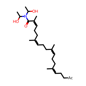 CC(=O)CCC=C(C)CCC=C(C)CCC=C(C)CCC=C(C)C(=O)N(C(C)O)C(C)O